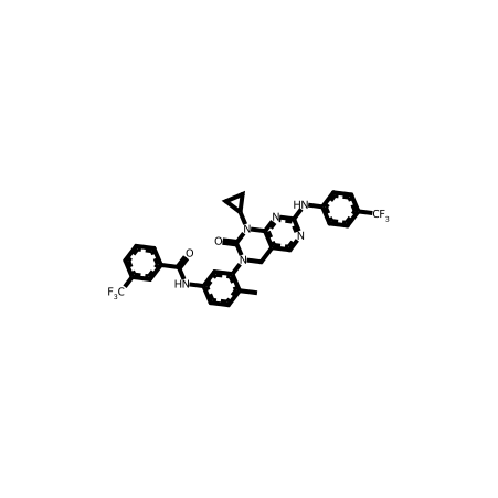 Cc1ccc(NC(=O)c2cccc(C(F)(F)F)c2)cc1N1Cc2cnc(Nc3ccc(C(F)(F)F)cc3)nc2N(C2CC2)C1=O